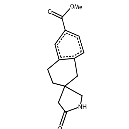 COC(=O)c1ccc2c(c1)CCC1(CNC(=O)C1)C2